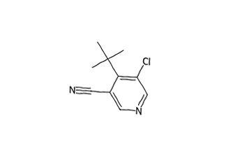 CC(C)(C)c1c(Cl)cncc1C#N